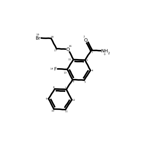 NC(=O)c1ccc(-c2ccccc2)c(F)c1OCCBr